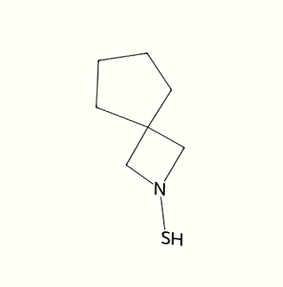 SN1CC2(CCCC2)C1